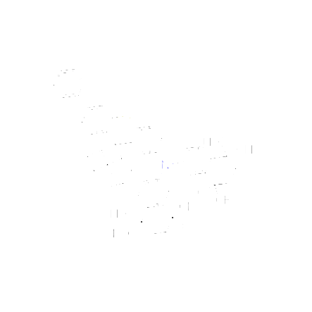 CC1(C)CCC(C)(C)c2cc(N(c3ccc4c(c3)C(C)(C)CCC4(C)C)c3ccc4c(c3)C3(c5ccc(-c6ccccc6)cc5S4)C4CC5CC6CC3C64C5)ccc21